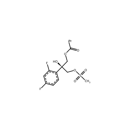 CC(C)C(=O)OC[C@](O)(COS(C)(=O)=O)c1ccc(F)cc1F